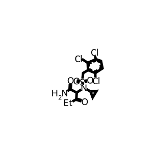 CCC(=O)C(C(N)=O)N(C1CC1)S(=O)(=O)Cc1c(Cl)ccc(Cl)c1Cl